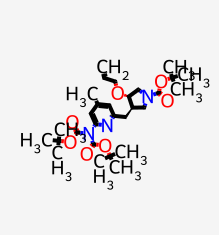 C=CCO[C@H]1CN(C(=O)OC(C)(C)C)C[C@H]1Cc1cc(C)cc(N(C(=O)OC(C)(C)C)C(=O)OC(C)(C)C)n1